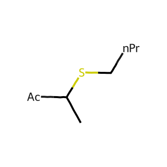 CCCCSC(C)C(C)=O